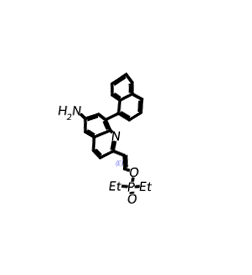 CCP(=O)(CC)O/C=C/c1ccc2cc(N)cc(-c3cccc4ccccc34)c2n1